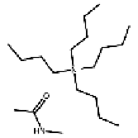 CCCC[N+](CCCC)(CCCC)CCCC.CNC(C)=O